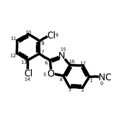 [C-]#[N+]c1ccc2oc(-c3c(Cl)cccc3Cl)nc2c1